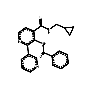 O=C(Nc1c(C(=O)NCC2CC2)ccnc1-c1cccnc1)c1ccccc1